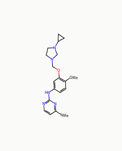 CNc1ccnc(Nc2ccc(OC)c(OCN3CCN(C4CC4)C3)c2)n1